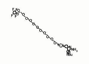 CCCCn1cc2c(n1)c(N)nc1ccc(N3CCN(CCOCCOCCOCCOCCOCCOCCOCCOCCOCCOCCC(=O)Oc4c(F)c(F)cc(F)c4F)CC3)cc12